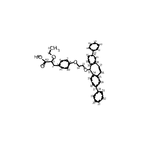 CCOC(Cc1ccc(OCCOC2c3ccc(-c4ccccc4)cc3C=Cc3cc(-c4ccccc4)ccc32)cc1)C(=O)O